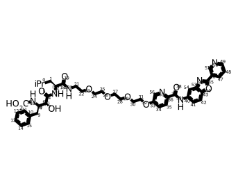 CC(C)C[C@H](NC(=O)[C@@H](O)[C@@H](Cc1ccccc1)NC(=O)O)C(=O)NCCOCCOCCOCCOc1ccc(C(=O)Nc2ccc3oc(-c4cccnc4)nc3c2)nc1